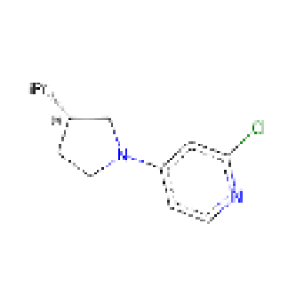 CC(C)[C@H]1CCN(c2ccnc(Cl)c2)C1